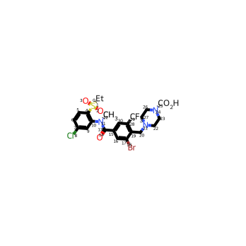 CCS(=O)(=O)c1ccc(Cl)cc1N(C)C(=O)c1cc(Br)c(CN2CCN(C(=O)O)CC2)c(C(F)(F)F)c1